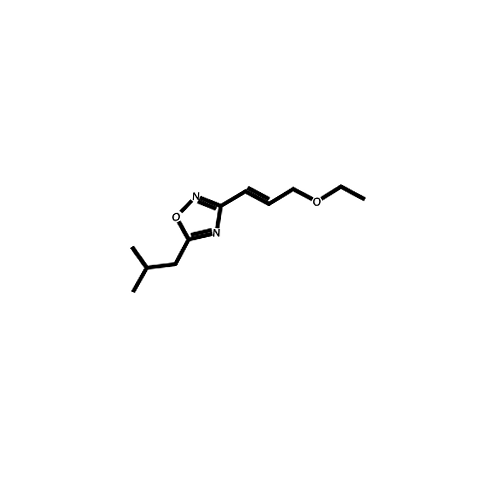 CCOC/C=C/c1noc(CC(C)C)n1